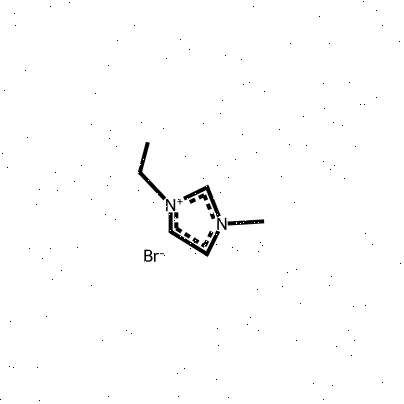 CC[n+]1ccn(C)c1.[Br-]